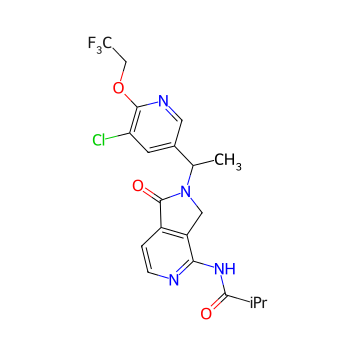 CC(C)C(=O)Nc1nccc2c1CN(C(C)c1cnc(OCC(F)(F)F)c(Cl)c1)C2=O